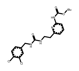 CC(C)(C)OC(=O)Nc1cccc(CCNC(=O)NCc2ccc(Cl)c(Cl)c2)n1